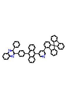 c1ccc(-c2nc3ccccc3nc2-c2ccc(-c3c4ccccc4c(-c4cncc(-c5cccc6c5-c5ccccc5C65c6ccccc6-c6ccccc65)c4)c4ccccc34)cc2)cc1